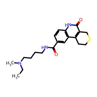 CCN(C)CCCCNC(=O)c1ccc2[nH]c(=O)c3c(c2c1)CCSC3